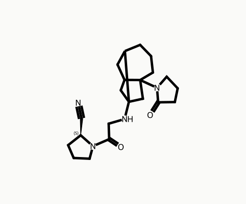 N#C[C@@H]1CCCN1C(=O)CNC12CC3CC1CCCC3(N1CCCC1=O)C2